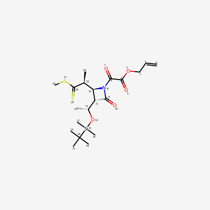 C=CCOC(=O)C(=O)N1C(=O)[C@H]([C@@H](C)O[Si](C)(C)C(C)(C)C)[C@H]1[C@H](C)C(=S)SC